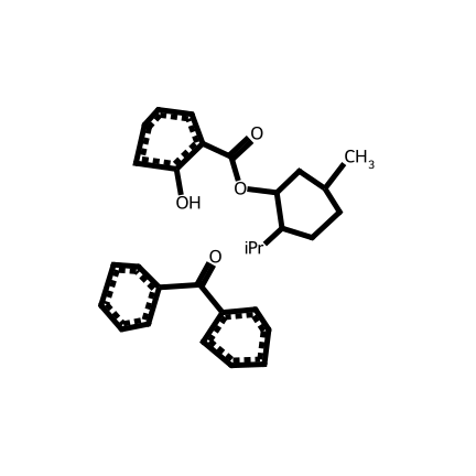 CC1CCC(C(C)C)C(OC(=O)c2ccccc2O)C1.O=C(c1ccccc1)c1ccccc1